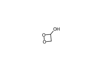 OC1COO1